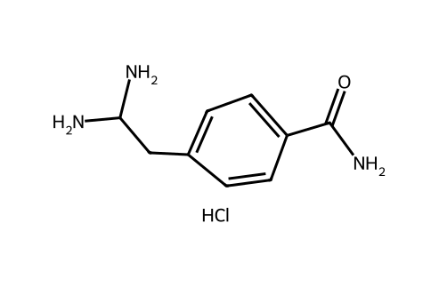 Cl.NC(=O)c1ccc(CC(N)N)cc1